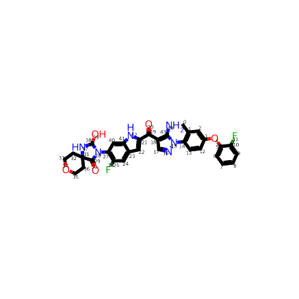 Cc1cc(Oc2ccccc2F)ccc1-n1ncc(C(=O)c2cc3cc(F)c(N4C(=O)C5(CCOCC5)NC4O)cc3[nH]2)c1N